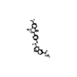 CN(C)c1ccc(NC(=O)c2ccc(CNc3cnc4ccc(C(N)=O)cc4n3)cc2)c(N)c1